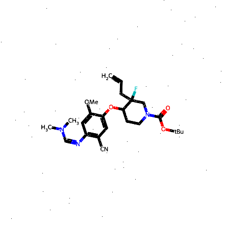 C=CCC1(F)CN(C(=O)OC(C)(C)C)CCC1Oc1cc(C#N)c(/N=C\N(C)C)cc1OC